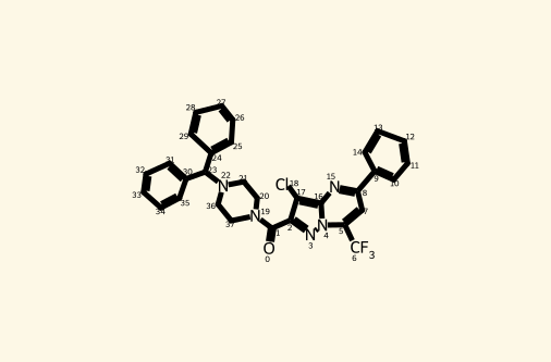 O=C(c1nn2c(C(F)(F)F)cc(-c3ccccc3)nc2c1Cl)N1CCN(C(c2ccccc2)c2ccccc2)CC1